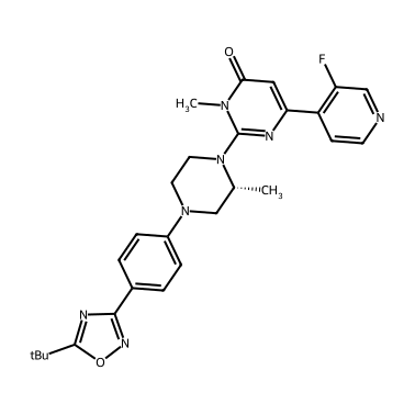 C[C@@H]1CN(c2ccc(-c3noc(C(C)(C)C)n3)cc2)CCN1c1nc(-c2ccncc2F)cc(=O)n1C